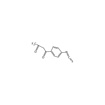 O=C(CC(=O)C(F)(F)F)c1ccc(N=C=S)cc1